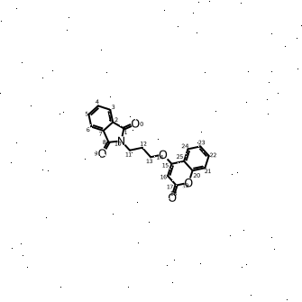 O=C1c2ccccc2C(=O)N1CCCOc1cc(=O)oc2ccccc12